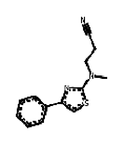 CN(CCC#N)c1nc(-c2ccccc2)cs1